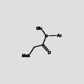 CSCC(=O)N(C(C)=O)C(C)(C)C